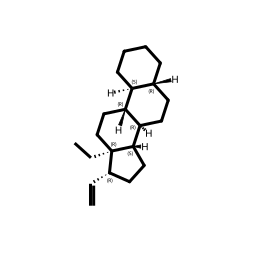 C=C[C@H]1CC[C@H]2[C@@H]3CC[C@H]4CCCC[C@@H]4[C@H]3CC[C@]12CC